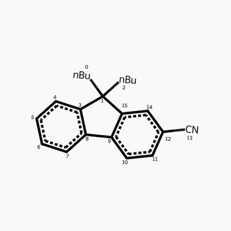 CCCCC1(CCCC)c2ccccc2-c2ccc(C#N)cc21